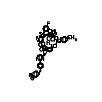 Cc1c(Cl)c2c(Cl)c(C)c1-c1c(-c3ccc(F)cc3)sc3ncnc(c13)O[C@@H](C(=O)O)c1cc(ccc1OCc1ccnc(-c3ccc(CN4CCS(=O)(=O)CC4)cc3)n1)OC[C@@H](CN1CCN(C)CC1)O2